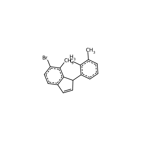 Cc1cccc(C2C=Cc3ccc(Br)c(C)c32)c1C